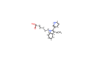 Cc1c(-c2cccnc2)n(CCCC=CC(=O)O)c2ccccc12